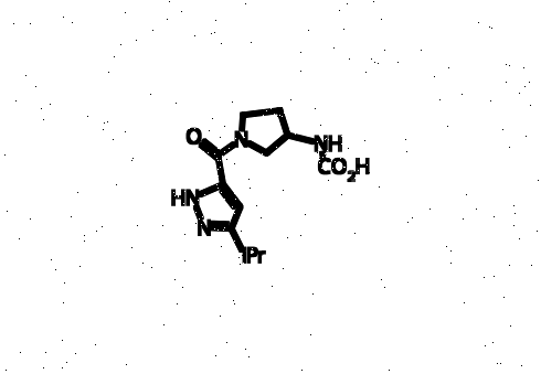 CC(C)c1cc(C(=O)N2CCC(NC(=O)O)C2)[nH]n1